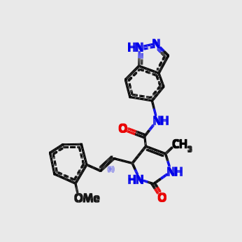 COc1ccccc1/C=C/C1NC(=O)NC(C)=C1C(=O)Nc1ccc2[nH]ncc2c1